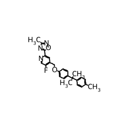 Cc1ccc(C(C)(C)c2ccc(OCc3cc(-c4nc(C)no4)ncc3F)cc2)cc1